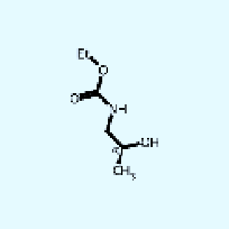 CCOC(=O)NC[C@H](C)O